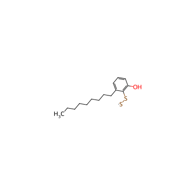 CCCCCCCCCc1cccc(O)c1S[S]